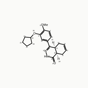 COc1ccc(C2=NNC(=O)[C@@H]3CC=CC[C@H]23)cc1OC1CCCC1